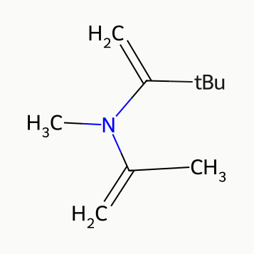 C=C(C)N(C)C(=C)C(C)(C)C